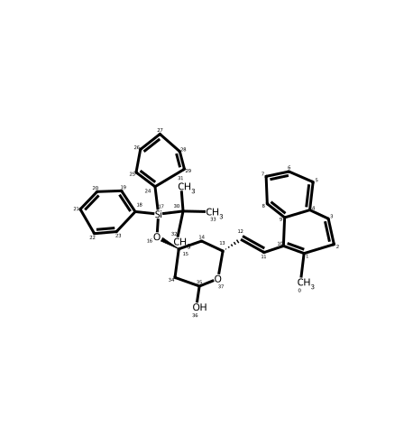 Cc1ccc2ccccc2c1C=C[C@H]1C[C@H](O[Si](c2ccccc2)(c2ccccc2)C(C)(C)C)CC(O)O1